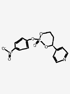 O=[N+]([O-])c1ccc(OP2(=O)OCC[C@@H](c3ccncc3)O2)cc1